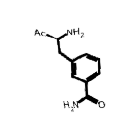 CC(=O)[C@@H](N)Cc1cccc(C(N)=O)c1